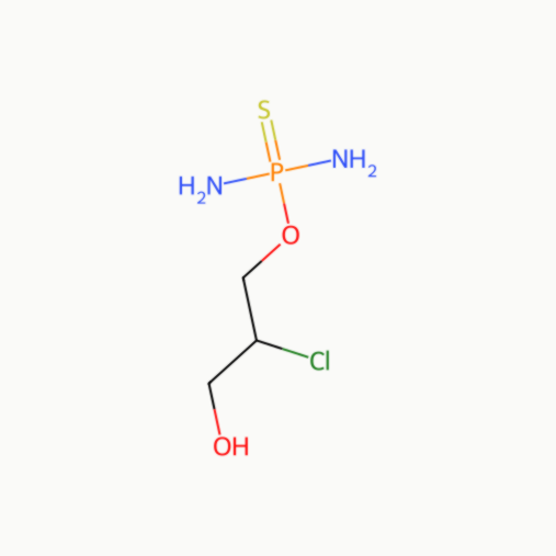 NP(N)(=S)OCC(Cl)CO